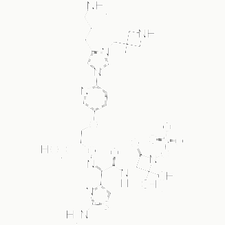 CC1(C)[C@H](NC(=O)/C(=N\O[C@@H](COc2ccc(-n3cc(CCCN)[n+](CC4(F)CNC4)c3)nc2)C(=O)O)c2csc(N)n2)C(=O)N1OS(=O)(=O)[O-]